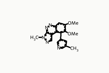 COc1cc2nnc3c(cnn3C)c2c(-c2cncc(C)c2)c1OC